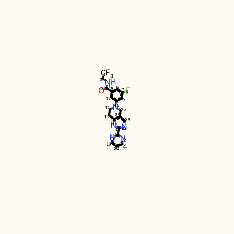 O=C(NCC(F)(F)F)c1cc(F)cc(N2CCc3nc(-c4ncccn4)ncc3C2)c1